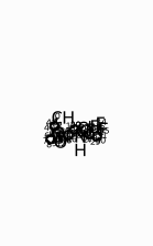 Cc1ccc(-c2ccccc2S(=O)(=O)N2CCc3c(ccc(Cl)c3NC(=O)Cc3cccc(C(F)(F)F)c3F)C2)cc1